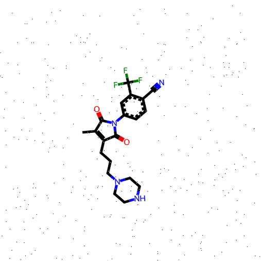 CC1=C(CCCN2CCNCC2)C(=O)N(c2ccc(C#N)c(C(F)(F)F)c2)C1=O